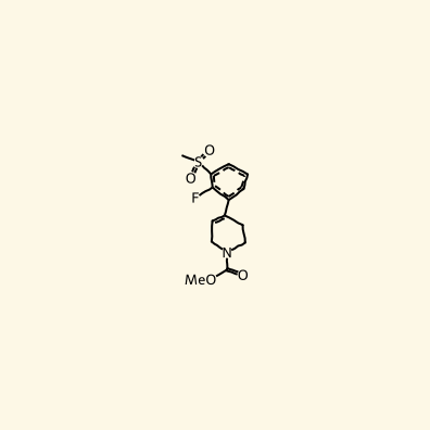 COC(=O)N1CC=C(c2cccc(S(C)(=O)=O)c2F)CC1